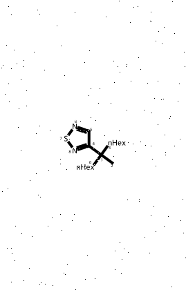 CCCCCCC(C)(CCCCCC)c1cnsn1